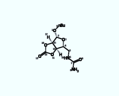 CCCCO[C@@H]1OC(CNC(N)=O)[C@H]2OC(=O)O[C@@H]12